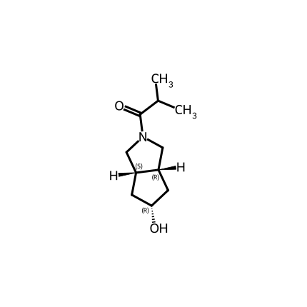 CC(C)C(=O)N1C[C@H]2C[C@@H](O)C[C@H]2C1